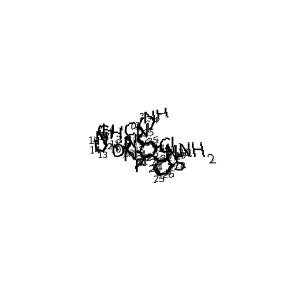 C[C@H]1CNCCN1c1nc(OC[C@@H]2CCCN2C)nc2c(F)c(-c3cccc4sc(N)nc34)c(Cl)cc12